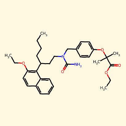 CCCCC(CCN(Cc1ccc(OC(C)(C)C(=O)OCC)cc1)C(N)=O)c1c(OCC)ccc2ccccc12